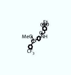 CCS(=O)(=O)c1ccc(CC(=O)Nc2ccc(N3CC(c4ccc(C(F)(F)F)cc4)C[C@H]3COC)cc2)cc1